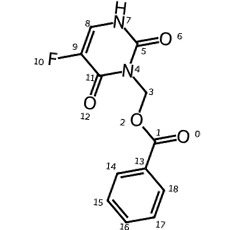 O=C(OCn1c(=O)[nH]cc(F)c1=O)c1ccccc1